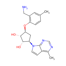 Cc1ccc(O[C@H]2C[C@@H](n3ccc4c(C)ncnc43)[C@H](O)[C@@H]2O)c(CN)c1